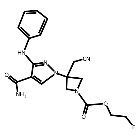 N#CCC1(n2cc(C(N)=O)c(Nc3ccccc3)n2)CN(C(=O)OCCF)C1